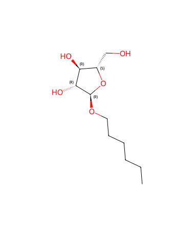 CCCCCCO[C@@H]1O[C@@H](CO)[C@H](O)[C@H]1O